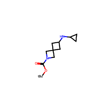 CC(C)(C)OC(=O)N1CC2(CC(NC3CC3)C2)C1